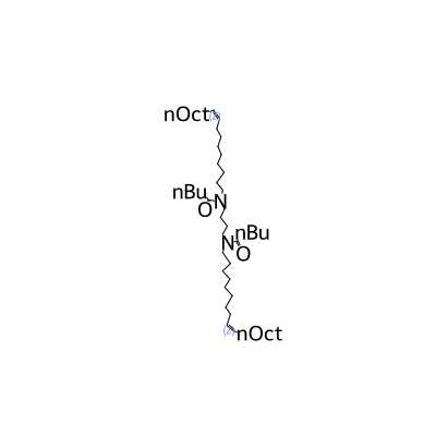 CCCCCCCC/C=C\CCCCCCCCN(CCCCN(CCCCCCCC/C=C\CCCCCCCC)C(=O)CCCC)C(=O)CCCC